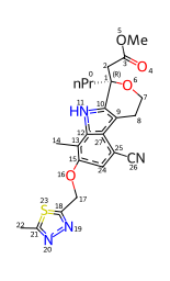 CCC[C@]1(CC(=O)OC)OCCc2c1[nH]c1c(C)c(OCc3nnc(C)s3)cc(C#N)c21